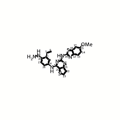 C=Cc1cc(Nc2nc(Nc3nc4ccc(OC)cc4s3)nc3ccsc23)ccc1NN